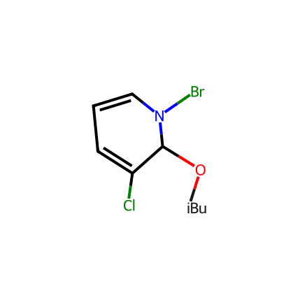 CCC(C)OC1C(Cl)=CC=CN1Br